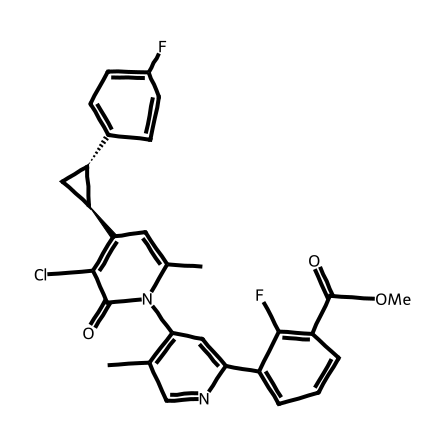 COC(=O)c1cccc(-c2cc(-n3c(C)cc([C@H]4C[C@@H]4c4ccc(F)cc4)c(Cl)c3=O)c(C)cn2)c1F